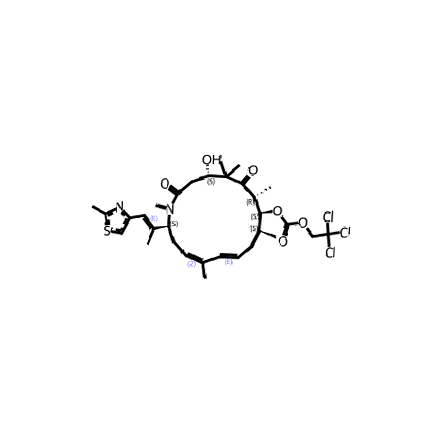 CC1=C/C[C@@H](/C(C)=C/c2csc(C)n2)N(C)C(=O)C[C@H](O)C(C)(C)C(=O)[C@H](C)[C@@H](OC(=O)OCC(Cl)(Cl)Cl)[C@@H](C)C\C=C\1